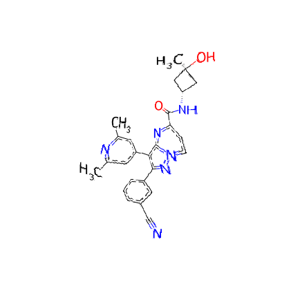 Cc1cc(-c2c(-c3cccc(C#N)c3)nn3ccc(C(=O)N[C@H]4C[C@](C)(O)C4)nc23)cc(C)n1